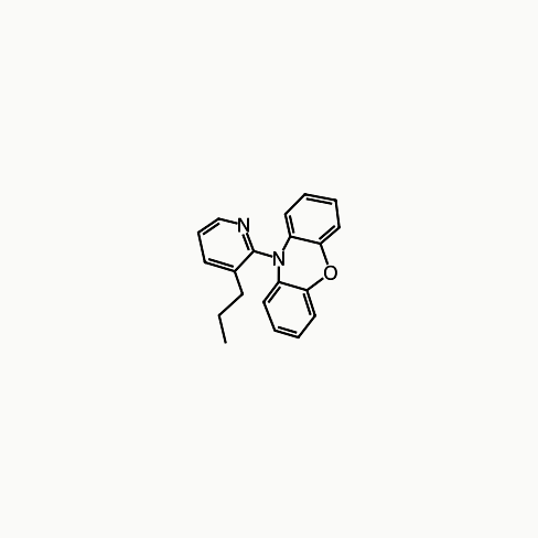 CCCc1cccnc1N1c2ccccc2Oc2ccccc21